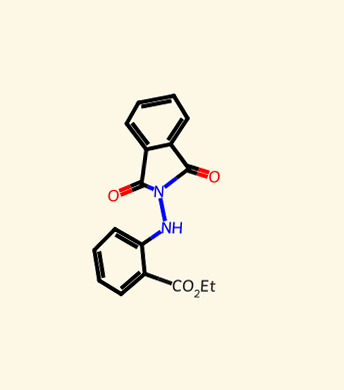 CCOC(=O)c1ccccc1NN1C(=O)c2ccccc2C1=O